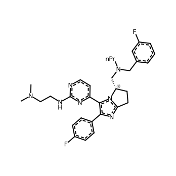 CCCN(Cc1cccc(F)c1)C[C@@H]1CCc2nc(-c3ccc(F)cc3)c(-c3ccnc(NCCN(C)C)n3)n21